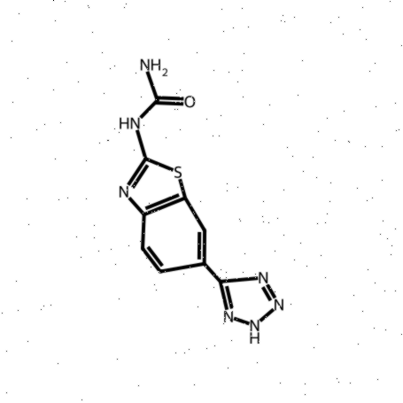 NC(=O)Nc1nc2ccc(-c3nn[nH]n3)cc2s1